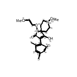 COCCON1C(=O)C(c2c(C)cc(C)cc2Cl)=C(O)C12CCN(OC)CC2